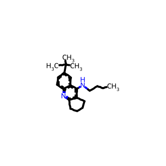 CCCCNc1c2c(nc3ccc(C(C)(C)C)cc13)CCCC2